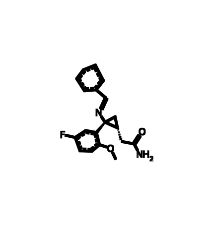 COc1ccc(F)cc1[C@@]1(/N=C/c2ccccc2)C[C@@H]1CC(N)=O